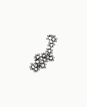 C1=CC2=C(c3ccc(-c4ccc(N(c5ccc(-c6ccccc6)cc5)c5ccccc5-c5cccc(-c6cccc7c6c6ccccc6n7-c6cccc7ccccc67)c5)cc4)cc3)C=CCC2C=C1